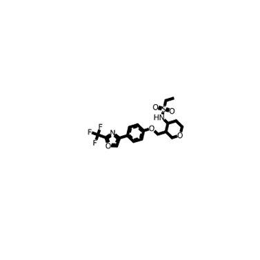 CCS(=O)(=O)NC1CCOCC1COc1ccc(-c2coc(C(F)(F)F)n2)cc1